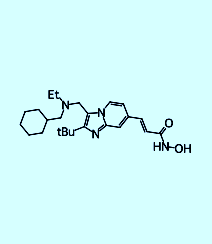 CCN(Cc1c(C(C)(C)C)nc2cc(C=CC(=O)NO)ccn12)CC1CCCCC1